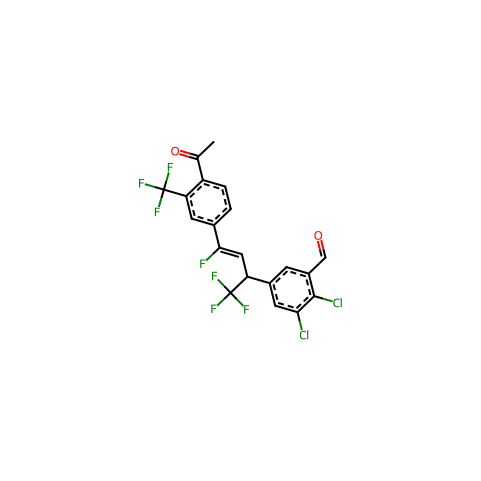 CC(=O)c1ccc(/C(F)=C/C(c2cc(Cl)c(Cl)c(C=O)c2)C(F)(F)F)cc1C(F)(F)F